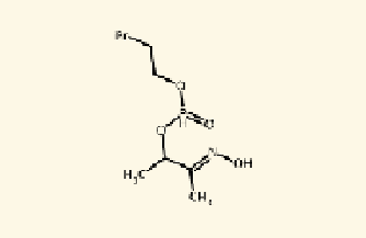 CC(=NO)C(C)O[PH](=O)OCCC(C)C